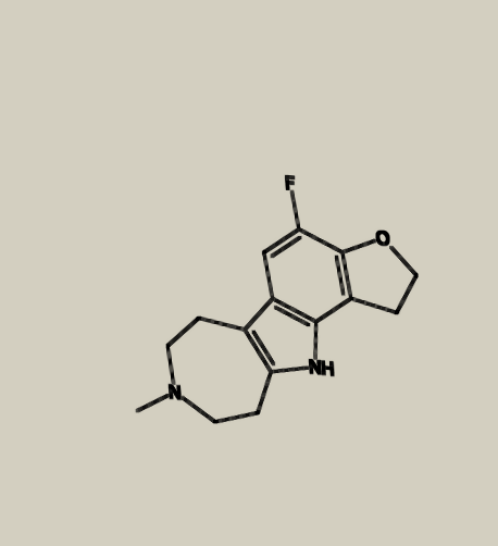 CN1CCc2[nH]c3c4c(c(F)cc3c2CC1)OCC4